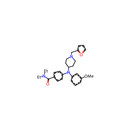 CCN(CC)C(=O)c1ccc(N(c2cccc(OC)c2)C2CCN(Cc3ccco3)CC2)cc1